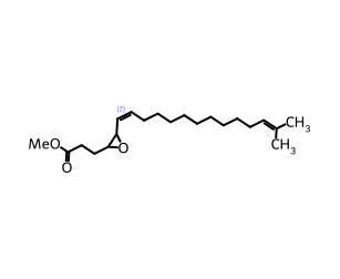 COC(=O)CCC1OC1/C=C\CCCCCCCCCC=C(C)C